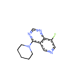 Fc1cncc2c(N3CCCCC3)ncnc12